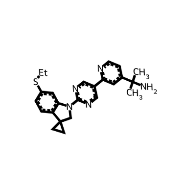 CCSc1ccc2c(c1)N(c1ncc(-c3cc(C(C)(C)N)ccn3)cn1)CC21CC1